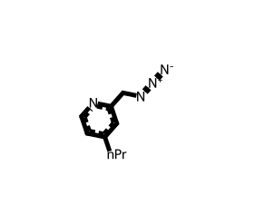 CCCc1ccnc(CN=[N+]=[N-])c1